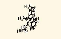 COc1nc(-c2nc(C)cs2)nc(NC2CCC(F)(F)CC2)c1OCCNC(=O)O